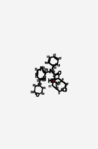 O=C(NN1C2COCC1COC2)N(c1ccccc1)c1ncnc(N2CCOCC2)n1